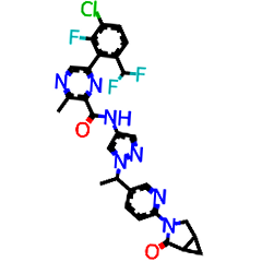 Cc1ncc(-c2c(C(F)F)ccc(Cl)c2F)nc1C(=O)Nc1cnn(C(C)c2ccc(N3CC4CC4C3=O)nc2)c1